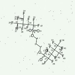 O=S(=O)(OCCCOS(=O)(=O)C(F)(F)C(F)(F)C(F)(C(F)(F)F)C(F)(F)F)C(F)(F)C(F)(F)C(F)(C(F)(F)F)C(F)(F)F